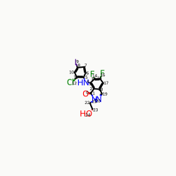 O=c1c2c(Nc3ccc(I)cc3Cl)c(F)c(F)cc2cnn1CCO